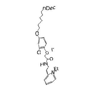 CCCCCCCCCCCCCCCCOc1ccc(OCC(=O)NCCc2cccc[n+]2CC)c(Cl)c1.[I-]